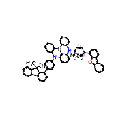 C=C(/C=C\C(=C/C)c1cccc2c1oc1ccccc12)N1c2ccccc2B2c3ccccc3N(c3ccc(-c4cccc5c4C(C)(C)c4ccccc4-5)cc3)c3cccc1c32